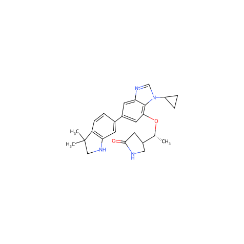 C[C@@H](Oc1cc(-c2ccc3c(c2)NCC3(C)C)cc2ncn(C3CC3)c12)C1CNC(=O)C1